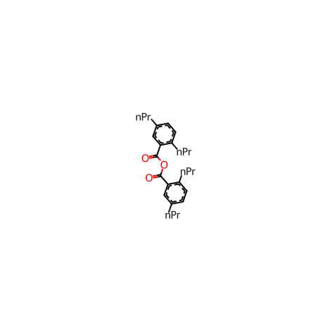 CCCc1ccc(CCC)c(C(=O)OC(=O)c2cc(CCC)ccc2CCC)c1